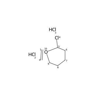 C=C.Cl.Cl.ClC1CCCCO1